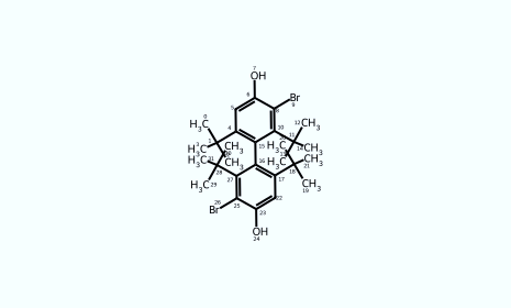 CC(C)(C)c1cc(O)c(Br)c(C(C)(C)C)c1-c1c(C(C)(C)C)cc(O)c(Br)c1C(C)(C)C